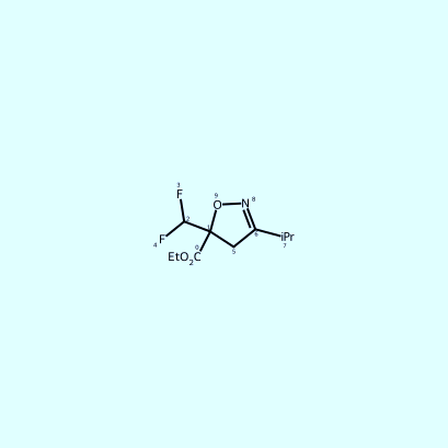 CCOC(=O)C1(C(F)F)CC(C(C)C)=NO1